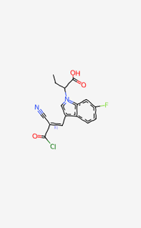 CCC(C(=O)O)n1cc(/C=C(\C#N)C(=O)Cl)c2ccc(F)cc21